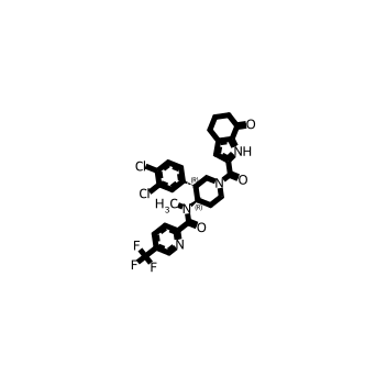 CN(C(=O)c1ccc(C(F)(F)F)cn1)[C@@H]1CCN(C(=O)c2cc3c([nH]2)C(=O)CCC3)C[C@H]1c1ccc(Cl)c(Cl)c1